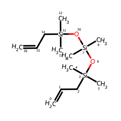 C=CC[Si](C)(C)O[Si](C)(C)O[Si](C)(C)CC=C